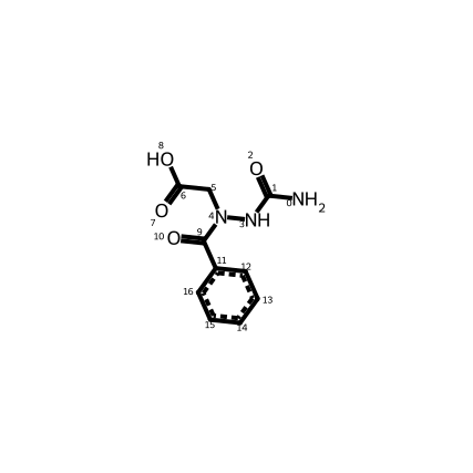 NC(=O)NN(CC(=O)O)C(=O)c1ccccc1